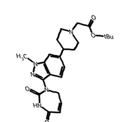 Cn1nc(N2CC=CC(=O)NC2=O)c2ccc(C3CCN(CC(=O)OC(C)(C)C)CC3)cc21